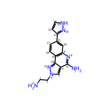 NCCn1cc2c(N)nc3cc(-c4cc[nH]n4)ccc3c2n1